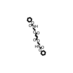 O=C(/C=C/C(=O)OCCNC(=O)OC1CCCCC1)OCCNC(=O)OC1CCCCC1